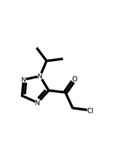 CC(C)n1ncnc1C(=O)CCl